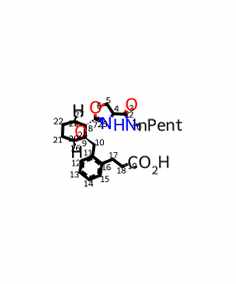 CCCCCNC(=O)C1COC([C@@H]2[C@@H](Cc3ccccc3CCC(=O)O)[C@@H]3CC[C@H]2O3)=N1